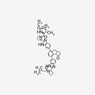 COC(=O)N[C@H](C(=O)N1CCC[C@H]1c1nc2ccc(-c3ccc(-c4ccc5nc(C6CCCN6C(=O)CC(C)C)[nH]c5c4)c4c3CC3CCC(=O)C43)cc2[nH]1)C(C)C